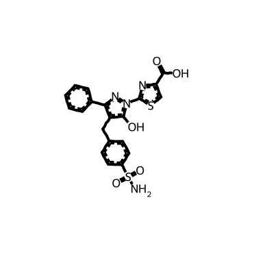 NS(=O)(=O)c1ccc(Cc2c(-c3ccccc3)nn(-c3nc(C(=O)O)cs3)c2O)cc1